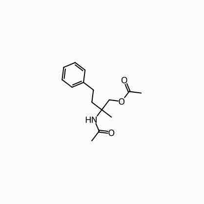 CC(=O)NC(C)(CCc1ccccc1)COC(C)=O